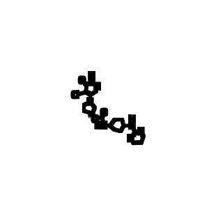 O=C(NC1CCC(Nc2ncccn2)CC1)O[C@@H]1CCN(c2cn[nH]c(=O)c2Cl)C1